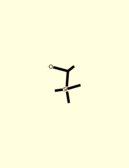 CC([O])[Si](C)(C)C